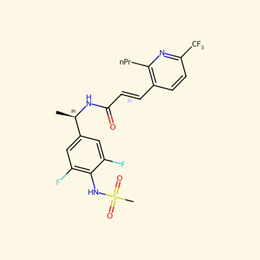 CCCc1nc(C(F)(F)F)ccc1/C=C/C(=O)N[C@H](C)c1cc(F)c(NS(C)(=O)=O)c(F)c1